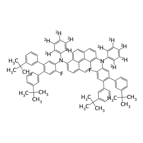 [2H]c1c([2H])c([2H])c(N(c2cc(-c3cccc(C(C)(C)C)c3)c(-c3cccc(C(C)(C)C)c3)cc2F)c2ccc3ccc4c(N(c5cc(-c6cccc(C(C)(C)C)c6)c(-c6cccc(C(C)(C)C)c6)cc5F)c5c([2H])c([2H])c([2H])c([2H])c5[2H])ccc5ccc2c3c54)c([2H])c1[2H]